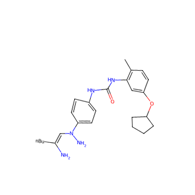 CCCC/C(N)=C/N(N)c1ccc(NC(=O)Nc2cc(OC3CCCC3)ccc2C)cc1